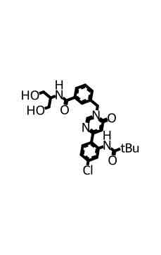 CC(C)(C)C(=O)Nc1cc(Cl)ccc1-c1cc(=O)n(Cc2cccc(C(=O)NC(CO)CO)c2)cn1